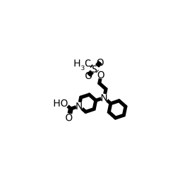 CS(=O)(=O)OCCN(C1CCCCC1)C1CCN(C(=O)O)CC1